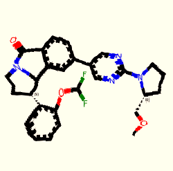 COC[C@H]1CCCN1c1ncc(-c2ccc3c(c2)C2[C@H](c4ccccc4OC(F)F)CCN2C3=O)cn1